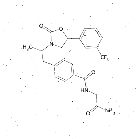 CC(Cc1ccc(C(=O)NCC(N)=O)cc1)N1CC(c2cccc(C(F)(F)F)c2)OC1=O